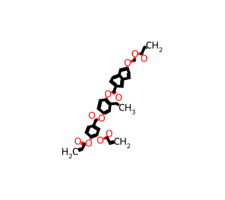 C=CC(=O)OCOc1ccc2cc(C(=O)Oc3ccc(OC(=O)c4ccc(OC(=O)C=C)c(OC(=O)C=C)c4)cc3CC)ccc2c1